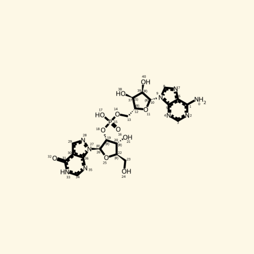 Nc1ncnc2c1ncn2[C@@H]1O[C@H](COP(=O)(O)O[C@@H]2[C@H](O)[C@@H](CO)O[C@H]2n2ncc3c(=O)[nH]cnc32)[C@@H](O)[C@H]1O